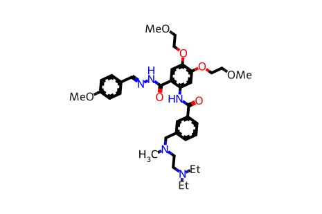 CCN(CC)CCN(C)Cc1cccc(C(=O)Nc2cc(OCCOC)c(OCCOC)cc2C(=O)N/N=C/c2ccc(OC)cc2)c1